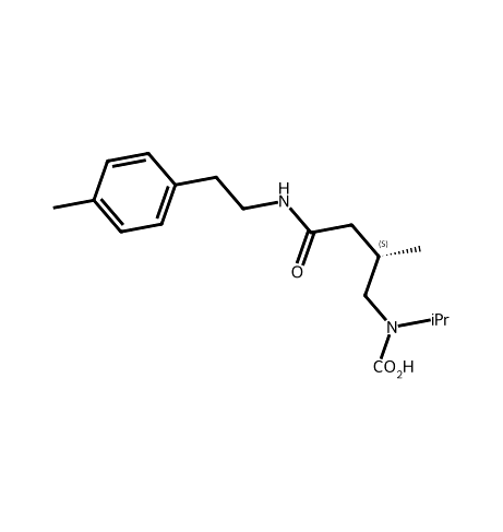 Cc1ccc(CCNC(=O)C[C@H](C)CN(C(=O)O)C(C)C)cc1